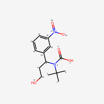 CC(C)(C)N(C(=O)O)C(CCO)c1cccc([N+](=O)[O-])c1